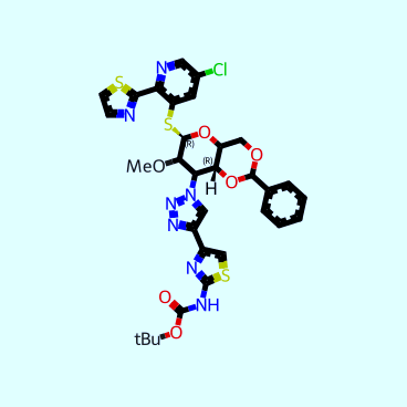 COC1C(n2cc(-c3csc(NC(=O)OC(C)(C)C)n3)nn2)[C@H]2OC(c3ccccc3)OCC2O[C@@H]1Sc1cc(Cl)cnc1-c1nccs1